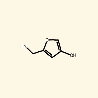 [NH]Cc1cc(O)co1